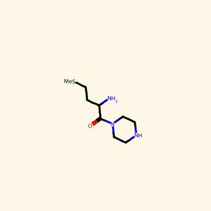 CSCCC(N)C(=O)N1CCNCC1